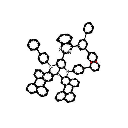 c1ccc(-c2ccc(N3c4cc(-c5nc(-c6cc(-c7ccccc7)cc(-c7ccccc7)c6)c6ccccc6n5)cc5c4B(c4cc6c7cccc8cccc(c9cccc(c43)c96)c87)c3cc4c6cccc7cccc(c8cccc(c3N5c3ccc(-c5ccccc5)cc3)c84)c76)cc2)cc1